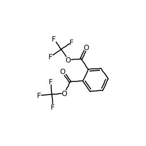 O=C(OC(F)(F)F)c1ccccc1C(=O)OC(F)(F)F